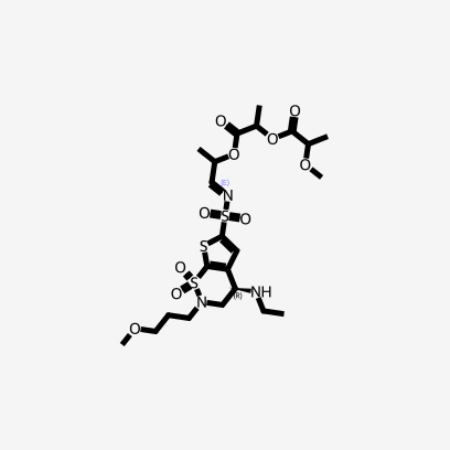 CCN[C@H]1CN(CCCOC)S(=O)(=O)c2sc(S(=O)(=O)/N=C/C(C)OC(=O)C(C)OC(=O)C(C)OC)cc21